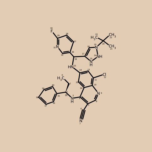 CC[C@@H](Nc1c(C#N)cnc2c(Cl)cc(NC(C3=CN(C(C)(C)C)NN3)c3ccc(F)nc3)cc12)c1ccccc1